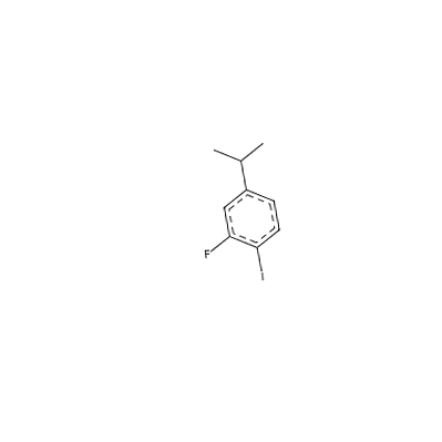 CC(C)c1ccc(I)c(F)c1